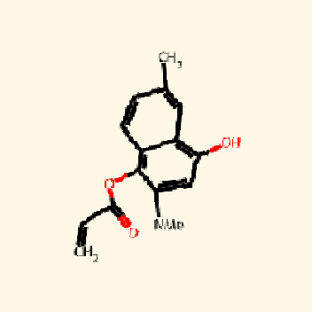 C=CC(=O)Oc1c(NC)cc(O)c2cc(C)ccc12